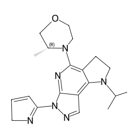 CC(C)N1CCc2c(N3CCOC[C@H]3C)nc3c(cnn3C3=NCC=C3)c21